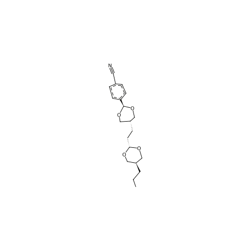 CCC[C@H]1CO[C@H](CC[C@H]2CO[C@H](c3ccc(C#N)cc3)OC2)OC1